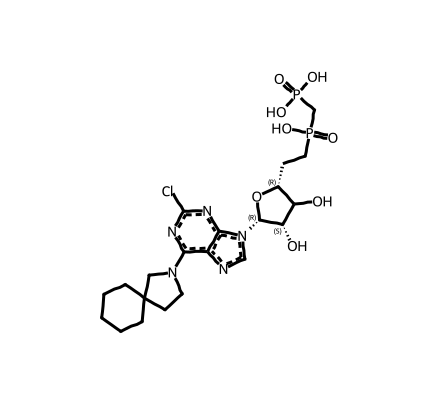 O=P(O)(O)CP(=O)(O)CC[C@H]1O[C@@H](n2cnc3c(N4CCC5(CCCCC5)C4)nc(Cl)nc32)[C@@H](O)C1O